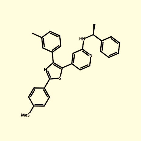 CSc1ccc(-c2nc(-c3cccc(C)c3)c(-c3ccnc(N[C@@H](C)c4ccccc4)c3)s2)cc1